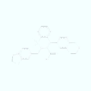 O=C(O)C1=C(c2ccc3c(c2)OCCO3)c2ccccc2S(=O)(=O)N1Cc1ccc2c(c1)OCO2